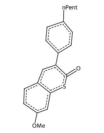 CCCCCc1ccc(-c2cc3ccc(OC)cc3sc2=O)cc1